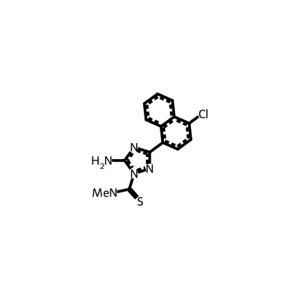 CNC(=S)n1nc(-c2ccc(Cl)c3ccccc23)nc1N